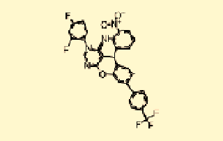 N=c1c2c(ncn1-c1ccc(F)cc1F)Oc1cc(-c3ccc(C(F)(F)F)cc3)ccc1C2c1cccc([N+](=O)[O-])c1